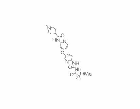 COC1(C(=O)NC(=O)Nc2ccc(Oc3ccnc(NC(=O)C4CCN(C)CC4)c3)cn2)CC1